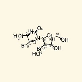 Cl.Nc1nc(=O)n([C@@H]2O[C@H](CO)[C@@H](O)[C@H]2Br)cc1Br